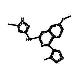 COc1ccc2c(-c3cscc3C)nc(Nc3cc(C)[nH]n3)cc2c1